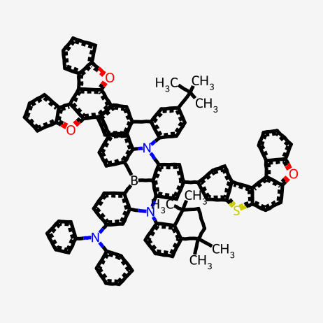 CC(C)(C)c1ccc(N2c3cc(-c4cc5oc6ccccc6c5c5c4oc4ccccc45)ccc3B3c4ccc(N(c5ccccc5)c5ccccc5)cc4N(c4cccc5c4C(C)(C)CCC5(C)C)c4cc(-c5ccc6c(c5)sc5ccc7oc8ccccc8c7c56)cc2c43)c(-c2ccccc2)c1